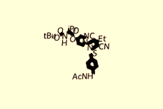 CCc1c(C#N)c(SCc2ccc(CNC(C)=O)cc2)nc(N2CCC(OC(=O)[C@@H](NC(=O)OC(C)(C)C)C(C)C)CC2)c1C#N